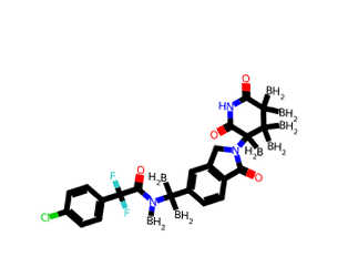 BN(C(=O)C(F)(F)c1ccc(Cl)cc1)C(B)(B)c1ccc2c(c1)CN(C1(B)C(=O)NC(=O)C(B)(B)C1(B)B)C2=O